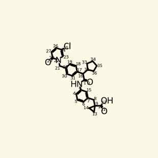 O=C(Nc1cccc(CC2(C(=O)O)CC2)c1)C(c1ccc(Cn2cc(Cl)ccc2=O)cc1)C1CCCC1